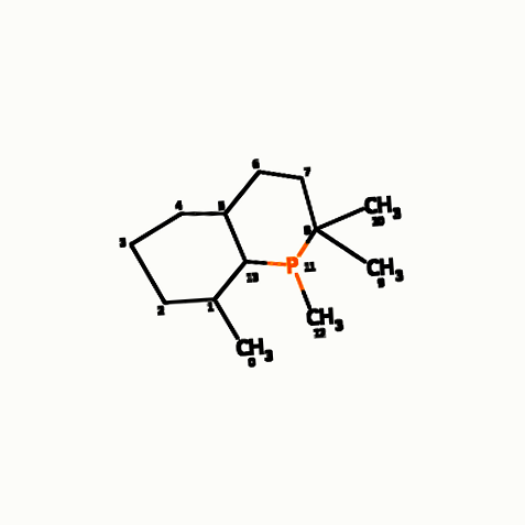 CC1CCCC2CCC(C)(C)P(C)C12